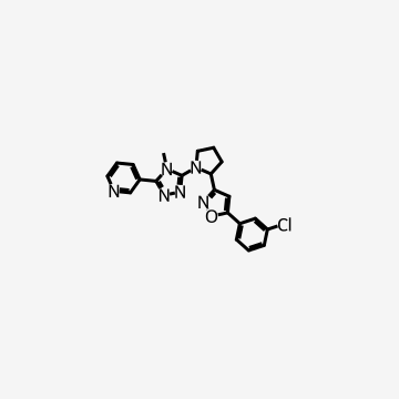 Cn1c(-c2cccnc2)nnc1N1CCCC1c1cc(-c2cccc(Cl)c2)on1